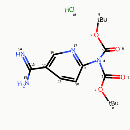 CC(C)(C)OC(=O)N(C(=O)OC(C)(C)C)c1ccc(C(=N)N)cn1.Cl